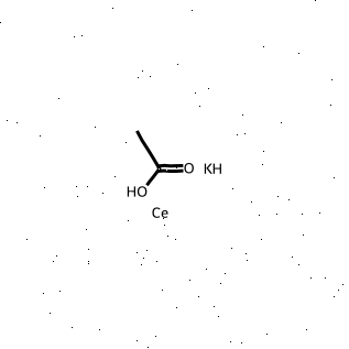 CC(=O)O.[Ce].[KH]